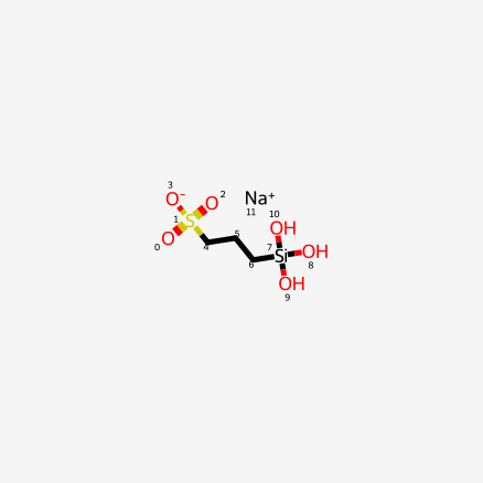 O=S(=O)([O-])CCC[Si](O)(O)O.[Na+]